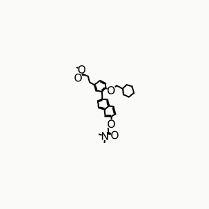 COC(=O)CCc1ccc(OCC2CCCCC2)c(-c2ccc3cc(OCC(=O)N(C)C)ccc3c2)c1